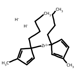 CCCC[C]1([Zr+2][C]2(CCCC)C=CC(C)=C2)C=CC(C)=C1.[H-].[H-]